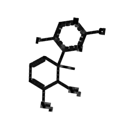 CC1(c2nc(Cl)ncc2F)C=CC=C(N)C1N